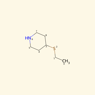 CCSC1CCNCC1